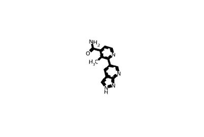 Cc1c(C(N)=O)ccnc1-c1cnc2n[nH]cc2c1